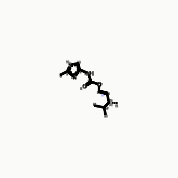 Cc1nc(NC(=O)O/C=C/[C@H](C)C(C)C)cs1